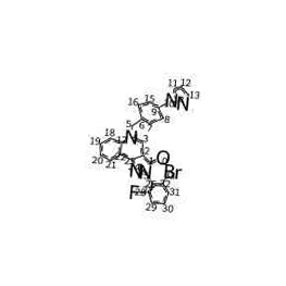 O=c1c2cn(Cc3ccc(-n4cccn4)cc3)c3ccccc3c-2nn1-c1c(F)cccc1Br